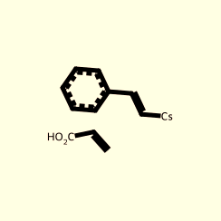 C=CC(=O)O.[Cs][CH]=Cc1ccccc1